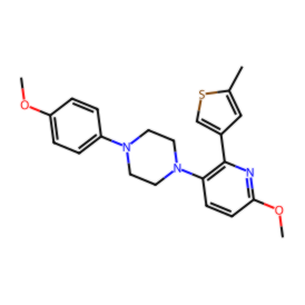 COc1ccc(N2CCN(c3ccc(OC)nc3-c3csc(C)c3)CC2)cc1